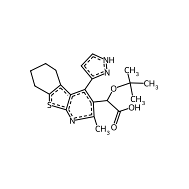 Cc1nc2sc3c(c2c(-c2cc[nH]n2)c1C(OC(C)(C)C)C(=O)O)CCCC3